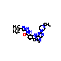 C=C(C)c1cc(NC(=O)c2ccc(C)c(Nc3ncnc4cnc(N5CCCN(C)CC5)nc34)c2)[nH]n1